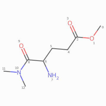 COC(=O)CCC(N)C(=O)N(C)C